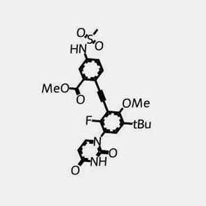 COC(=O)c1cc(NS(C)(=O)=O)ccc1C#Cc1c(F)c(-n2ccc(=O)[nH]c2=O)cc(C(C)(C)C)c1OC